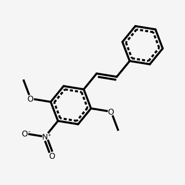 COc1cc([N+](=O)[O-])c(OC)cc1C=Cc1ccccc1